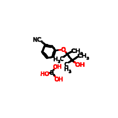 CC(C)(O)C(C)(C)Oc1cccc(C#N)c1.OB(O)O